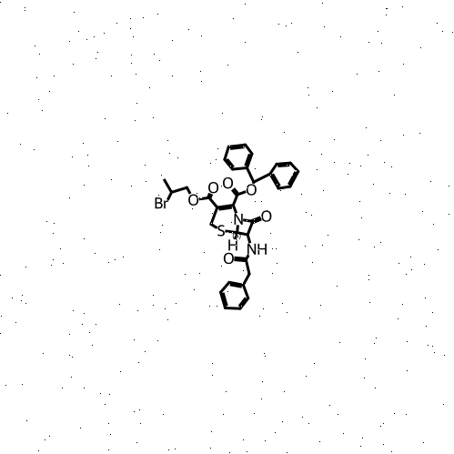 CC(Br)COC(=O)C1=C(C(=O)OC(c2ccccc2)c2ccccc2)N2C(=O)C(NC(=O)Cc3ccccc3)[C@@H]2SC1